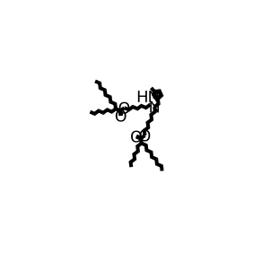 CCCCCCCCC(CCCCCC)C(=O)OCCCCCCN(CCCCCCOC(=O)C(CCCCCC)CCCCCCCC)Cc1ccc(C)[nH]1